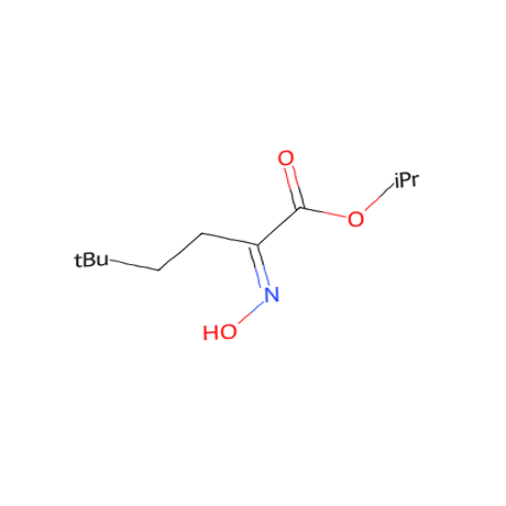 CC(C)OC(=O)C(CCC(C)(C)C)=NO